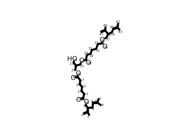 C=C(C)C(CC=C(C)C)COC(=O)CCCCCC(=O)OCC(CO)COC(=O)CCCCCC(=O)OCC(CC=C(C)C)C(=C)C